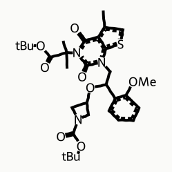 COc1ccccc1C(Cn1c(=O)n(C(C)(C)C(=O)OC(C)(C)C)c(=O)c2c(C)csc21)OC1CN(C(=O)OC(C)(C)C)C1